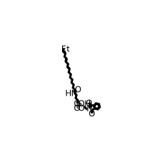 CCC=CCC=CCC=CCCCCCCCC(=O)NCCCOP(=O)(O)OCCN1C(=O)c2ccccc2C1=O